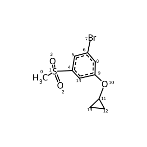 CS(=O)(=O)c1cc(Br)cc(OC2CC2)c1